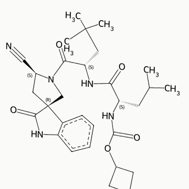 CC(C)C[C@H](NC(=O)OC1CCC1)C(=O)N[C@@H](CC(C)(C)C)C(=O)N1C[C@]2(C[C@H]1C#N)C(=O)Nc1ccccc12